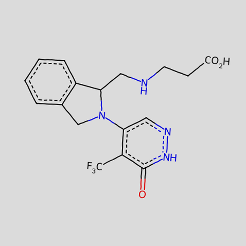 O=C(O)CCNCC1c2ccccc2CN1c1cn[nH]c(=O)c1C(F)(F)F